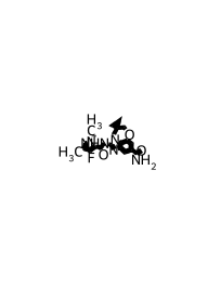 CCn1nc(C)c(F)c1C(=O)Nc1nc2cc(C(N)=O)cc3c2n1CC1(CC1)CO3